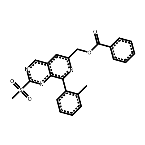 Cc1ccccc1-c1nc(COC(=O)c2ccccc2)cc2cnc(S(C)(=O)=O)nc12